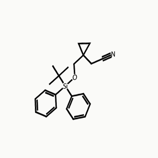 CC(C)(C)[Si](OCC1(CC#N)CC1)(c1ccccc1)c1ccccc1